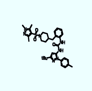 Cc1ccc(-n2nc(C(C)(C)C)cc2NC(=O)Nc2ccccc2CC2CCN(S(=O)(=O)c3c(C)nn(C)c3C)CC2)cc1